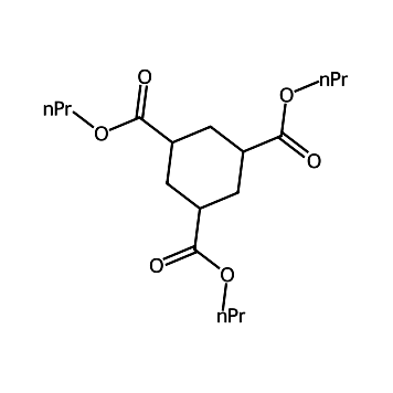 CCCOC(=O)C1CC(C(=O)OCCC)CC(C(=O)OCCC)C1